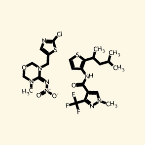 CC(C)CC(C)c1sccc1NC(=O)c1cn(C)nc1C(F)(F)F.CN1COCN(Cc2cnc(Cl)s2)/C1=N/[N+](=O)[O-]